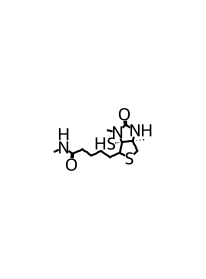 CNC(=O)CCCCC1SC[C@]2(C)NC(=O)N(C)[C@]12S